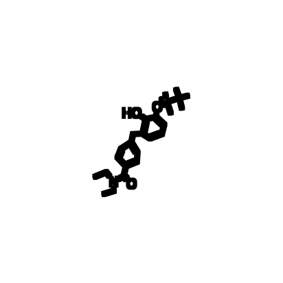 CCN(CC)C(=O)c1ccc(Cc2cccc(O[Si](C)(C)C(C)(C)C)c2O)cc1